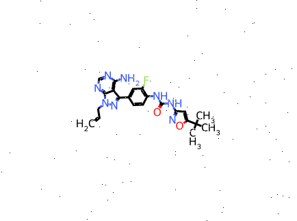 C=CCn1nc(-c2ccc(NC(=O)Nc3cc(C(C)(C)C)on3)c(F)c2)c2c(N)ncnc21